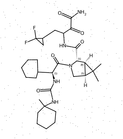 CC1(NC(=O)N[C@H](C(=O)N2C[C@H]3[C@@H]([C@H]2C(=O)NC(CC2CC2(F)F)C(=O)C(N)=O)C3(C)C)C2CCCCC2)CCCCC1